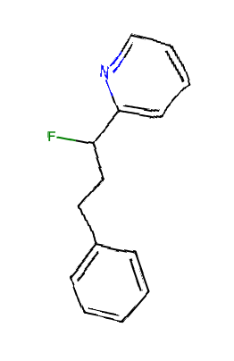 FC(CCc1ccccc1)c1ccccn1